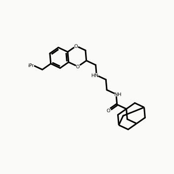 CC(C)Cc1ccc2c(c1)OC(CNCCNC(=O)C13CC4CC(CC(C4)C1)C3)CO2